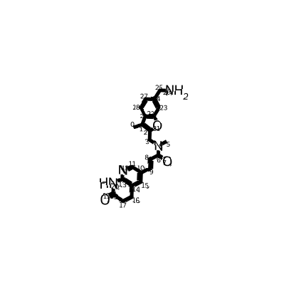 Cc1c(CN(C)C(=O)/C=C/c2cnc3c(c2)CCC(=O)N3)oc2cc(CN)ccc12